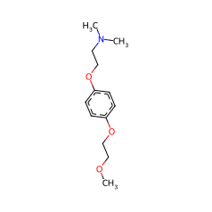 COCCOc1ccc(OCCN(C)C)cc1